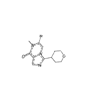 Cn1c(Br)cn2c(C3CCOCC3)ncc2c1=O